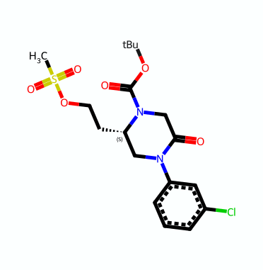 CC(C)(C)OC(=O)N1CC(=O)N(c2cccc(Cl)c2)C[C@@H]1CCOS(C)(=O)=O